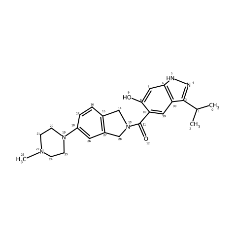 CC(C)c1n[nH]c2cc(O)c(C(=O)N3Cc4ccc(N5CCN(C)CC5)cc4C3)cc12